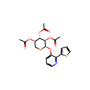 CC(=O)O[C@@H]1[C@@H](OC(C)=O)[C@@H](Oc2cccnc2-c2cccs2)SC[C@H]1OC(C)=O